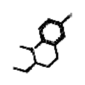 CC[C@@H]1CCc2cc(I)ccc2N1C